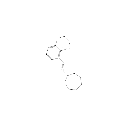 C(=N\C1CCCCCC1)/c1cccc2c1OCCO2